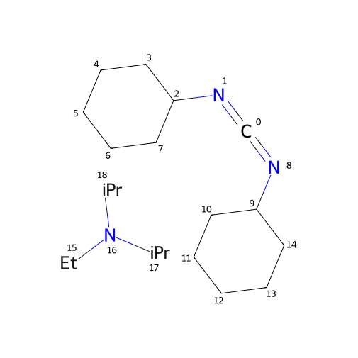 C(=NC1CCCCC1)=NC1CCCCC1.CCN(C(C)C)C(C)C